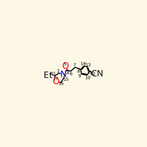 CC[C@H]1CN(C(=O)CCc2ccc(C#N)cc2)CCO1